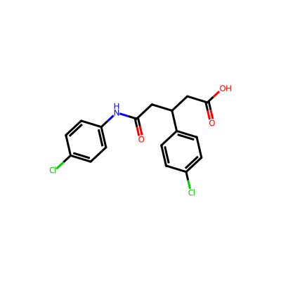 O=C(O)CC(CC(=O)Nc1ccc(Cl)cc1)c1ccc(Cl)cc1